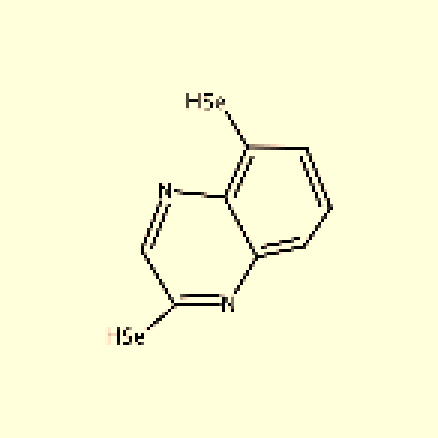 [SeH]c1cnc2c([SeH])cccc2n1